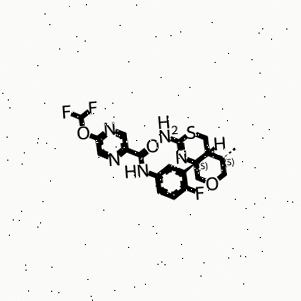 C[C@@H]1COC[C@]2(c3cc(NC(=O)c4cnc(OC(F)F)cn4)ccc3F)N=C(N)SC[C@H]12